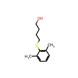 Cc1cccc(C)c1SCCCCO